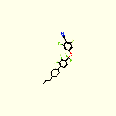 CCCC1CCC(c2ccc(C(F)(F)Oc3cc(F)c(C#N)c(F)c3)c(F)c2F)CC1